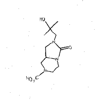 CC(C)(O)CN1CC2CN(C(=O)O)CCN2C1=O